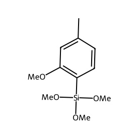 COc1cc(C)ccc1[Si](OC)(OC)OC